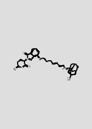 O=C1CCC(N2Cc3c(SCCCCCCCNC45CC6CC(CC(Cl)(C6)C4)C5)cccc3C2=O)C(=O)N1